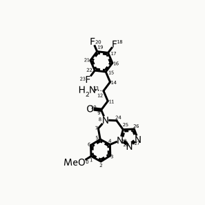 COc1ccc2c(c1)CN(C(=O)C[C@H](N)Cc1cc(F)c(F)cc1F)Cc1cnnn1-2